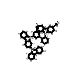 N#Cc1cc(-c2ccccc2-n2c3ccccc3c3cc(C#N)ccc32)cc(-n2c3ccccc3c3ccc(-n4c5ccccc5c5ccccc54)cc32)c1